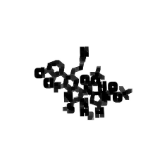 CSc1nc2c(F)c(-c3cccc(Cl)c3Cl)c(CCC#N)cc2c(N(C(=O)OC(C)(C)C)[C@H]2C[C@@H]3C[C@H]2N(C(=O)OC(C)(C)C)C3)c1N